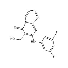 O=c1c(CO)c(Nc2cc(F)cc(F)c2)nc2ccccn12